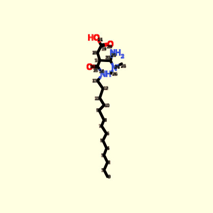 CCCCCCCCCCCCCCNC(=O)C(CC(=O)O)C(N)N(C)C